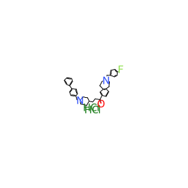 Cl.Cl.O=C(CCC1CCN(Cc2ccc(-c3ccccc3)cc2)CC1)c1ccc2c(c1)CCN(Cc1ccc(F)cc1)CC2